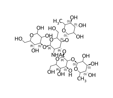 CC(=O)NC1[C@@H](O[C@@H]2C(O)C(O)OC(CO)[C@H]2O)OC(CO)[C@@H](O[C@@H]2OC(C)[C@@H](O)[C@H](O)C2O)[C@@H]1O[C@@H]1OC(CO)[C@H](O)[C@H](O)C1O[C@@H]1OC(C)[C@@H](O)[C@H](O)C1O